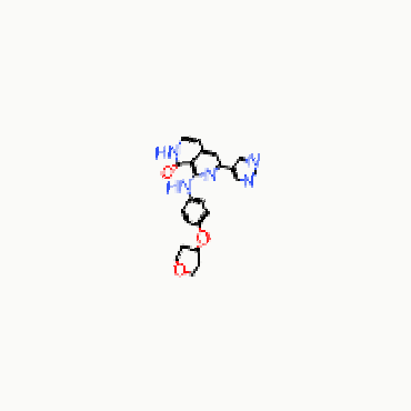 O=c1[nH]ccc2cc(-c3cncnc3)nc(Nc3ccc(OC4CCOCC4)cc3)c12